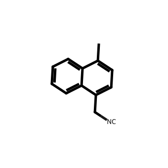 [C-]#[N+]Cc1ccc(C)c2ccccc12